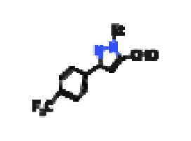 CCn1nc(-c2ccc(C(F)(F)F)cc2)cc1C=O